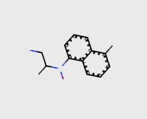 CC(=O)C(CN)N(I)c1cccc2c(S(=O)(=O)O)cccc12